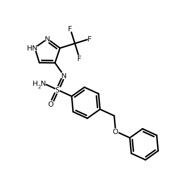 NS(=O)(=Nc1c[nH]nc1C(F)(F)F)c1ccc(COc2ccccc2)cc1